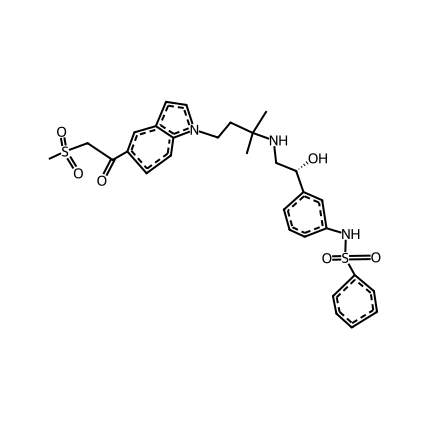 CC(C)(CCn1ccc2cc(C(=O)CS(C)(=O)=O)ccc21)NC[C@H](O)c1cccc(NS(=O)(=O)c2ccccc2)c1